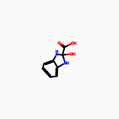 O=C(O)C1(O)Nc2ccccc2N1